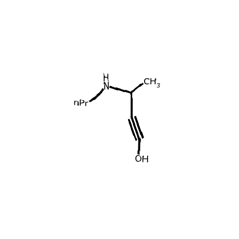 CCCNC(C)C#CO